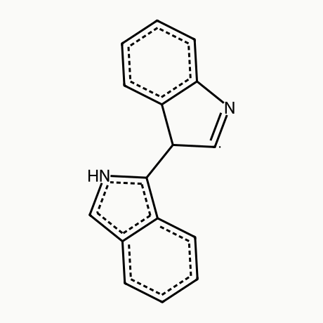 [C]1=Nc2ccccc2C1c1[nH]cc2ccccc12